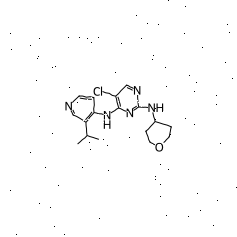 CC(C)c1cnccc1Nc1nc(NC2CCOCC2)ncc1Cl